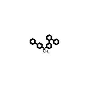 CN(c1ccc(-c2ccccc2)cc1)c1cccc(-c2ccccc2-c2ccccc2)c1